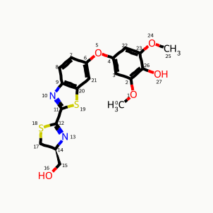 COc1cc(Oc2ccc3nc(C4=N[C@@H](CO)CS4)sc3c2)cc(OC)c1O